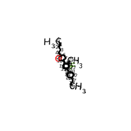 CCCCCC1CCC(c2ccc(C3CCC(CCC)CC3)c(F)c2C)CO1